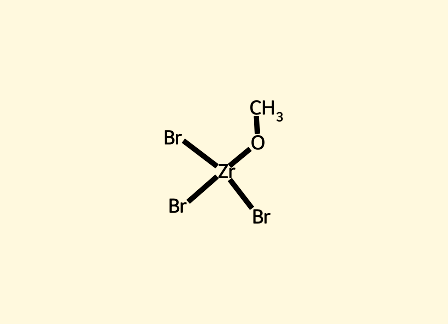 C[O][Zr]([Br])([Br])[Br]